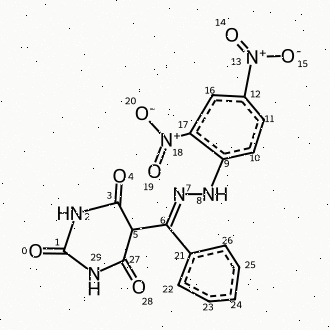 O=C1NC(=O)C(C(=NNc2ccc([N+](=O)[O-])cc2[N+](=O)[O-])c2ccccc2)C(=O)N1